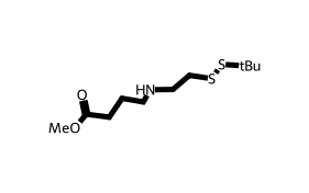 COC(=O)CCCNCCSSC(C)(C)C